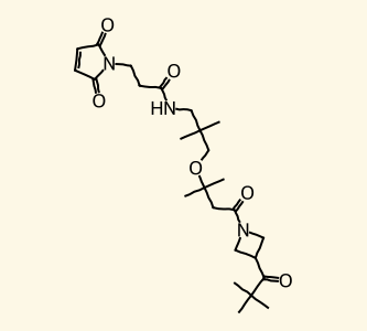 CC(C)(CNC(=O)CCN1C(=O)C=CC1=O)COC(C)(C)CC(=O)N1CC(C(=O)C(C)(C)C)C1